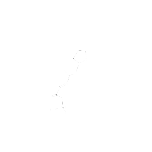 C[SiH](C)OC(=O)N=NC(=O)OC1CCCC1